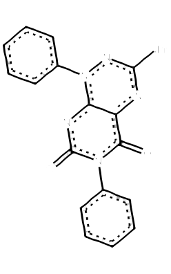 CC(C)c1nc2c(=O)n(-c3ccccc3)c(=O)nc-2n(-c2ccccc2)n1